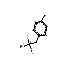 Cc1ccc(CC(F)(F)C(C)C)cc1